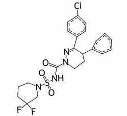 O=C(NS(=O)(=O)N1CCCC(F)(F)C1)N1CCC(c2ccccc2)C(c2ccc(Cl)cc2)=N1